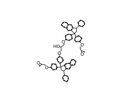 OC(COc1ccc(C2(c3ccc(OCC4CO4)cc3)CC(c3ccccc3)c3cc4ccccc4cc32)cc1)COc1ccc(C2(c3ccc(OCC4CO4)cc3)CC(c3ccccc3)c3cc4ccccc4cc32)cc1